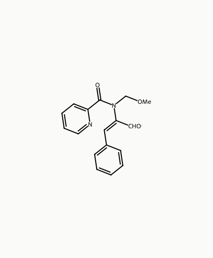 COCN(C(=O)c1ccccn1)C([C]=O)=Cc1ccccc1